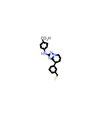 O=C(O)c1ccc(Nc2nc3c(-c4cccc(CF)c4)cccn3n2)cc1